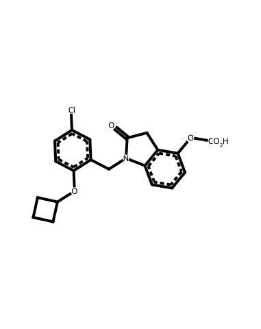 O=C(O)Oc1cccc2c1CC(=O)N2Cc1cc(Cl)ccc1OC1CCC1